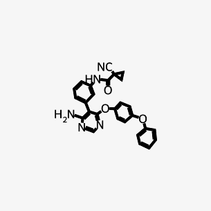 N#CC1(C(=O)Nc2cccc(-c3c(N)ncnc3Oc3ccc(Oc4ccccc4)cc3)c2)CC1